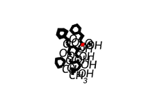 CC1CCCC(OC2OC(CO)C(O)C(O/C(=C\C3CCCCC3)C(=O)OO)C2OC(=O)c2ccccc2)C1OC1OC(C)C(O)C(O)C1O